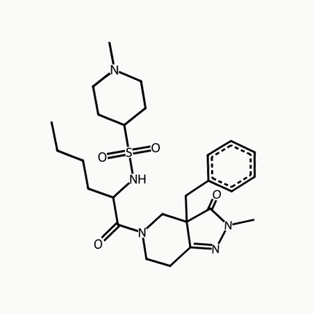 CCCCC(NS(=O)(=O)C1CCN(C)CC1)C(=O)N1CCC2=NN(C)C(=O)C2(Cc2ccccc2)C1